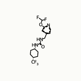 O=C(NCc1ccnc(OC(F)F)c1)N[C@H]1CC[C@@H](C(F)(F)F)CC1